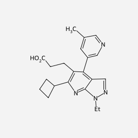 CCn1ncc2c(-c3cncc(C)c3)c(CCC(=O)O)c(C3CCC3)nc21